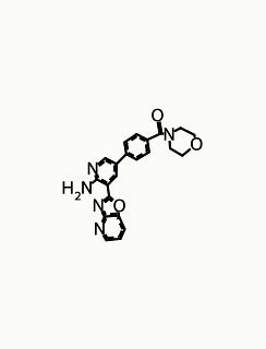 Nc1ncc(-c2ccc(C(=O)N3CCOCC3)cc2)cc1-c1nc2ncccc2o1